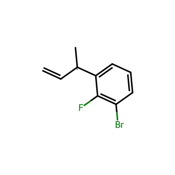 C=C[C](C)c1cccc(Br)c1F